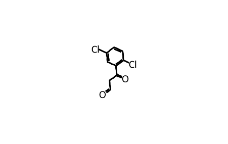 O=CCC(=O)c1cc(Cl)ccc1Cl